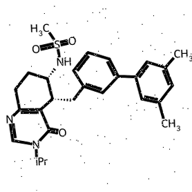 Cc1cc(C)cc(-c2cccc(C[C@@H]3c4c(ncn(C(C)C)c4=O)CC[C@@H]3NS(C)(=O)=O)c2)c1